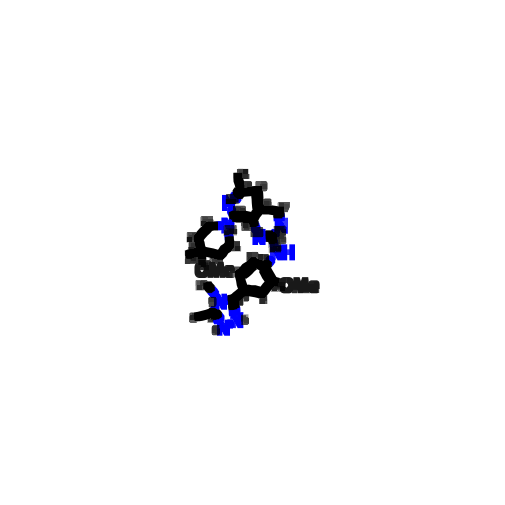 COc1cc(-c2nnc(C)n2C)ccc1Nc1ncc2cc(C)nc(N3CCC(C)(OC)CC3)c2n1